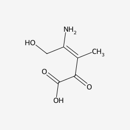 CC(C(=O)C(=O)O)=C(N)CO